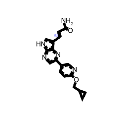 NC(=O)/C=C/c1c[nH]c2ncc(-c3ccc(OCC4CC4)nc3)nc12